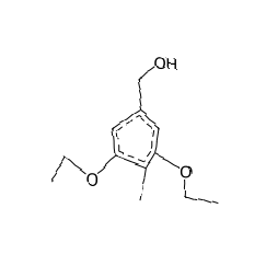 CCOc1cc(CO)cc(OCC)c1C